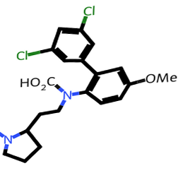 COc1ccc(N(CCC2CCCN2C)C(=O)O)c(-c2cc(Cl)cc(Cl)c2)c1